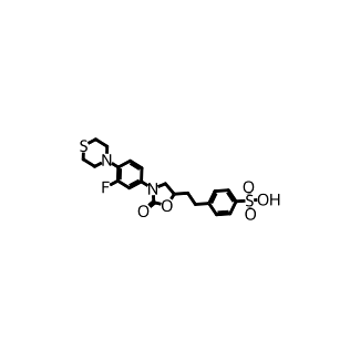 O=C1OC(CCc2ccc(S(=O)(=O)O)cc2)CN1c1ccc(N2CCSCC2)c(F)c1